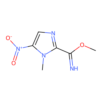 COC(=N)c1ncc([N+](=O)[O-])n1C